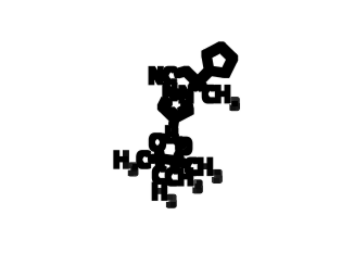 CC(CC#N)(C1CCCC1)n1cc(B2OC(C)(C)C(C)(C)O2)cn1